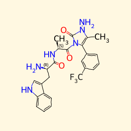 Cc1c(-c2cccc(C(F)(F)F)c2)n(C(=O)[C@H](C)NC(=O)[C@H](N)Cc2c[nH]c3ccccc23)c(=O)n1N